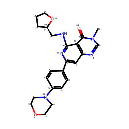 Cn1cnc2cc(-c3ccc(N4CCOCC4)cc3)nc(NC[C@H]3CCCO3)c2c1=O